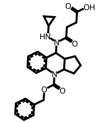 O=C(O)CCC(=O)N(NC1CC1)C1c2ccccc2N(C(=O)OCc2ccccc2)C2CCCC12